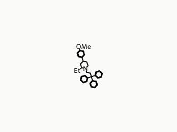 CCC1CC(c2ccc(OC)cc2)CCN1CCC(c1ccccc1)(c1ccccc1)c1ccccc1